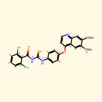 COc1cc2nccc(Oc3ccc(NC(=S)NC(=O)c4c(F)cccc4F)cc3)c2cc1OC